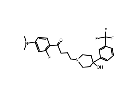 CN(C)c1ccc(C(=O)CCCN2CCC(O)(c3cccc(C(F)(F)F)c3)CC2)c(F)c1